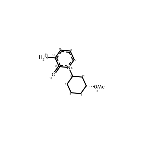 CO[C@@H]1CCCC(n2cccc(N)c2=O)C1